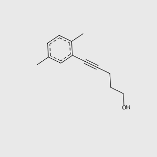 Cc1ccc(C)c(C#CCCCO)c1